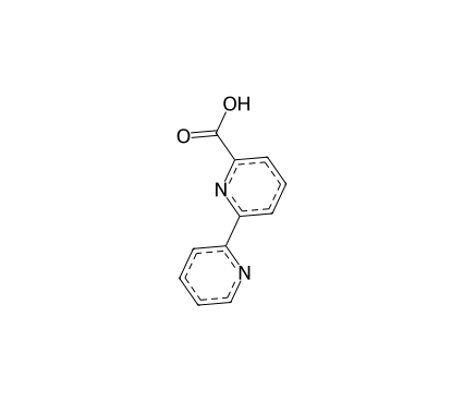 O=C(O)c1cccc(-c2ccccn2)n1